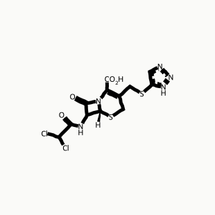 O=C(O)C1=C(CSc2cnn[nH]2)CS[C@@H]2C(NC(=O)C(Cl)Cl)C(=O)N12